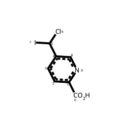 O=C(O)c1ccc(C(Cl)I)cn1